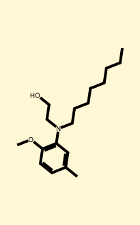 CCCCCCCCN(CCO)c1cc(C)ccc1OC